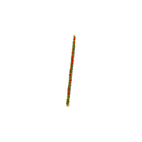 S=S=S=S=S=S=S=S=S=S=S=S=S=S=S=S=S=S=S=S=S=S=S=S=S=S=S=S=S=S=S=S=S=S=S=S=S=S=S=S=S=S=S=S=S=S=S=S=S=S=S=S=S=S=S=S=S=S=S=S=S=S=S=S=S=S=S=S=S=S=S=S=S=S=S=S=S=S=S=S=S=S=S=S